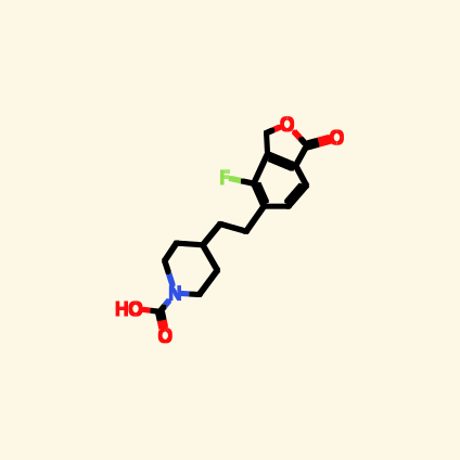 O=C1OCc2c1ccc(CCC1CCN(C(=O)O)CC1)c2F